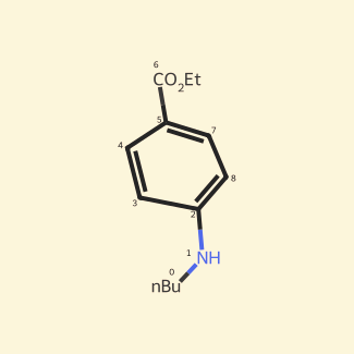 CCCCNc1ccc(C(=O)OCC)cc1